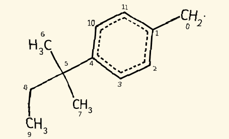 [CH2]c1ccc(C(C)(C)[CH]C)cc1